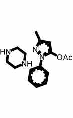 C1CNCCN1.CC(=O)Oc1cc(C)nn1-c1ccccc1